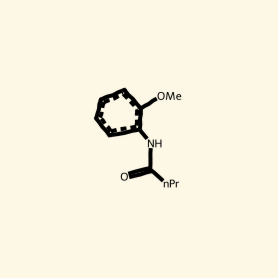 [CH2]CCC(=O)Nc1ccccc1OC